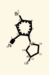 N#Cc1cc(Br)ccc1N1CC[C@@H](F)C1